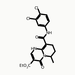 CCOC(=O)C1=CNC2=C(C(=O)Nc3ccc(Cl)c(Cl)c3)CCC(C)N2C1=O